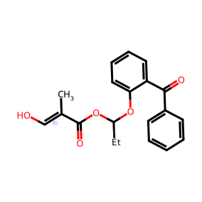 CCC(OC(=O)/C(C)=C/O)Oc1ccccc1C(=O)c1ccccc1